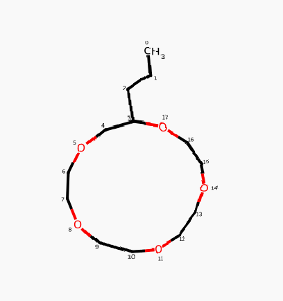 CCCC1COCCOCCOCCOCCO1